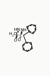 N=C=O.N=C=O.O.c1ccc(Cc2ccccc2)cc1